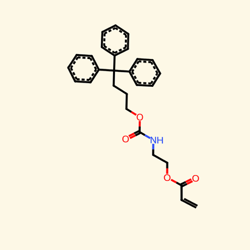 C=CC(=O)OCCNC(=O)OCCCC(c1ccccc1)(c1ccccc1)c1ccccc1